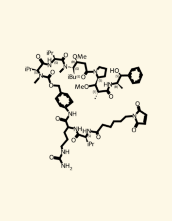 CC[C@H](C)[C@@H]([C@@H](CC(=O)N1CCC[C@H]1C(OC)[C@@H](C)C(=O)N[C@H](C)[C@@H](O)c1ccccc1)OC)N(C)C(=O)[C@@H](NC(=O)[C@H](C(C)C)N(C)C(=O)OCc1ccc(NC(=O)C(CCCNC(N)=O)NC(=O)[C@@H](NC(=O)CCCCCN2C(=O)C=CC2=O)C(C)C)cc1)C(C)C